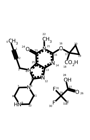 CC#CCn1c(N2CCNCC2)nc2nc(OC3(C(=O)O)CC3)n(C)c(=O)c21.O=C(O)C(F)(F)F